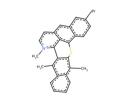 Cc1c2c(c(C)c3ccccc13)-c1c3c(c4ccc(C(C)C)cc4cc3cc[n+]1C)S2